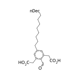 CCCCCCCCCCCCCCCCCCc1cc(CC(=O)O)c(I=O)c(CC(=O)O)c1